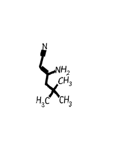 CC(C)(C)C/C(N)=C/C#N